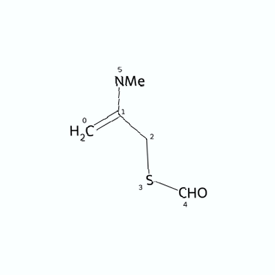 C=C(CSC=O)NC